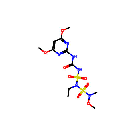 CCN(S(=O)(=O)NC(=O)Nc1nc(OC)cc(OC)n1)S(=O)(=O)N(C)OC